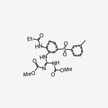 CCC(=O)Nc1ccc(S(=O)(=O)c2cccc(C)c2)cc1NC(=NC(=O)OC)NC(=O)OC